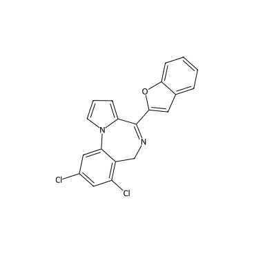 Clc1cc(Cl)c2c(c1)-n1cccc1C(c1cc3ccccc3o1)=NC2